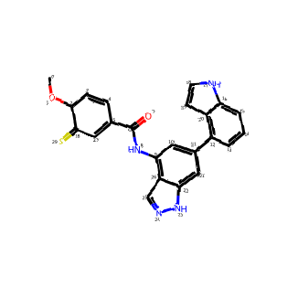 COC1C=CC(C(=O)Nc2cc(-c3cccc4[nH]ccc34)cc3[nH]ncc23)=CC1=S